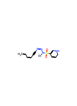 C=C/C=C\C#C/N=N\N(CC)S(=O)(=O)C1=CNCC=C1